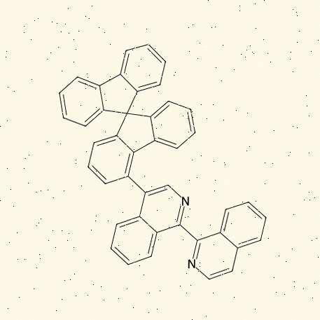 c1ccc2c(c1)-c1ccccc1C21c2ccccc2-c2c(-c3cnc(-c4nccc5ccccc45)c4ccccc34)cccc21